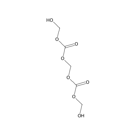 O=C(OCO)OCOC(=O)OCO